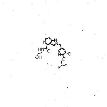 O=C(NCCO)c1nccc2nn(Cc3cnc(OCC(F)F)c(Cl)c3)cc12